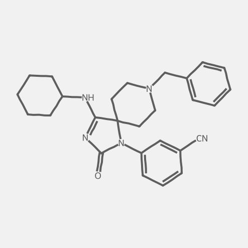 N#Cc1cccc(N2C(=O)N=C(NC3CCCCC3)C23CCN(Cc2ccccc2)CC3)c1